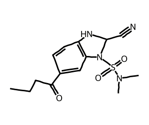 CCCC(=O)c1ccc2c(c1)N(S(=O)(=O)N(C)C)C(C#N)N2